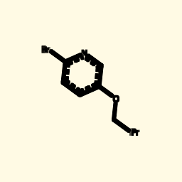 CC(C)COc1ccc(Br)nc1